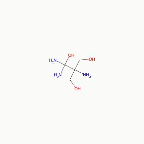 NC(N)(O)C(N)(CO)CO